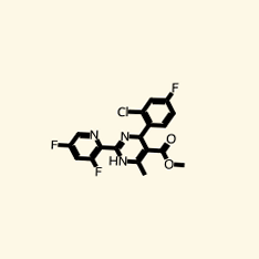 COC(=O)C1=C(C)NC(c2ncc(F)cc2F)=NC1c1ccc(F)cc1Cl